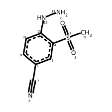 CS(=O)(=O)c1cc(C#N)ccc1NN